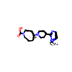 Cn1ccnc1C1CCN([C@H]2CCCN(C(=O)O)CC2)CC1